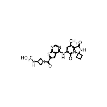 Cc1cc(Nc2ncnc3sc(C(=O)N4CC(NC(=O)O)C4)cc23)c(=O)n2c1C(=O)NC21CCC1